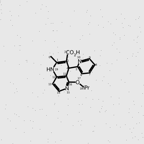 CC1=C(C(=O)O)C(c2ccccn2)c2c(ccnc2OC(C)C)N1